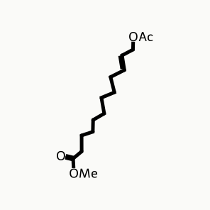 COC(=O)CCCCCCCCC=CCOC(C)=O